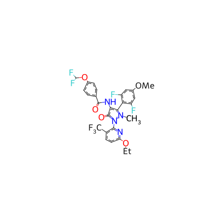 CCOc1ccc(C(F)(F)F)c(-n2c(=O)c(NC(=O)c3ccc(OC(F)F)cc3)c(-c3c(F)cc(OC)cc3F)n2C)n1